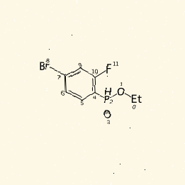 CCO[PH](=O)c1ccc(Br)cc1F